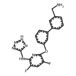 NCc1cccc(-c2cccc(Oc3nc(Nc4nn[nH]n4)c(F)cc3F)c2)c1